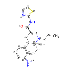 C=CCN1C[C@H](C(=O)Nc2nccs2)CC2c3cccc4[nH]cc(c34)C[C@H]21